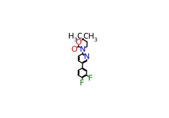 CC1(C)CCN(c2ccc(-c3ccc(F)c(F)c3)cn2)C(=O)O1